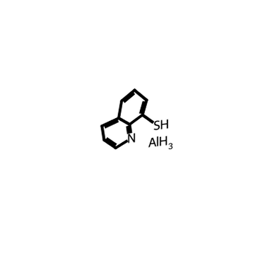 Sc1cccc2cccnc12.[AlH3]